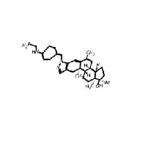 CC(=O)[C@@]1(O)CC[C@H]2[C@@H]3C[C@H](C)C4=Cc5c(cnn5CC5CCC(NCP)CC5)C[C@]4(C)[C@H]3CC[C@@]21C